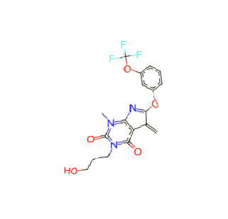 C=C1C(Oc2cccc(OC(F)(F)F)c2)=Nc2c1c(=O)n(CCCO)c(=O)n2C